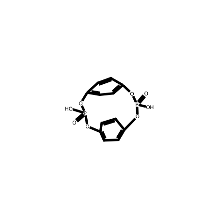 O=P1(O)Oc2ccc(cc2)OP(=O)(O)Oc2ccc(cc2)O1